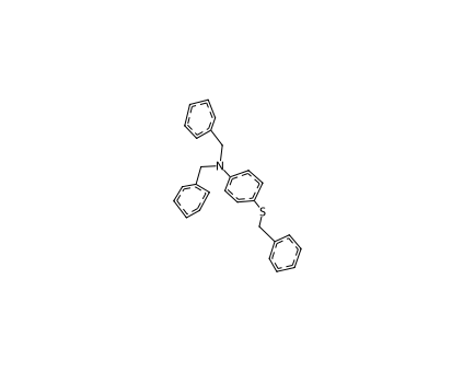 c1ccc(CSc2ccc(N(Cc3ccccc3)Cc3ccccc3)cc2)cc1